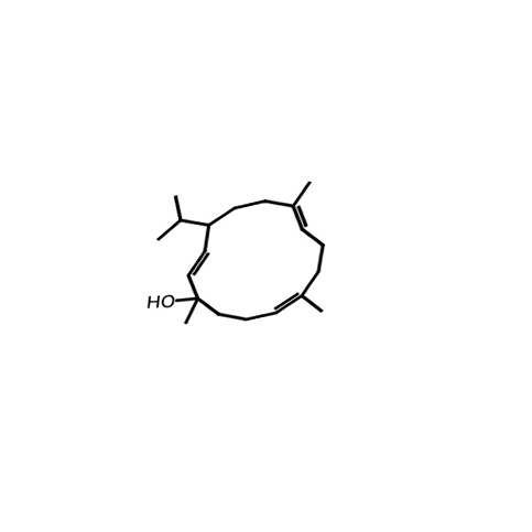 C/C1=C/CCC(C)(O)/C=C/C(C(C)C)CC/C(C)=C/CC1